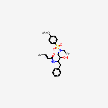 COc1ccc(S(=O)(=O)N(CC(C)C)CC(O)C(Cc2ccccc2)NC(=O)/C=C/C(C)=O)cc1